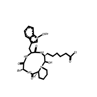 CCC(=O)CCCCC[C@@H]1NC(=O)C(Cc2cn(OC)c3ccccc23)NC(=O)[C@H](C(C)CC)NC(=O)[C@@H]2CCCCN2C1O